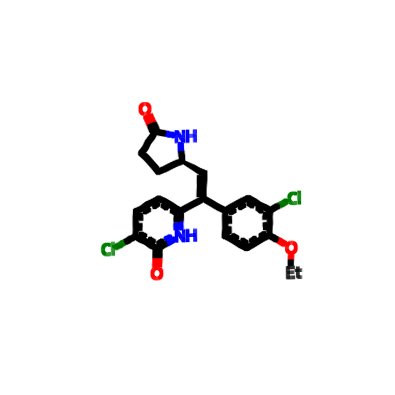 CCOc1ccc(C(=C[C@H]2CCC(=O)N2)c2ccc(Cl)c(=O)[nH]2)cc1Cl